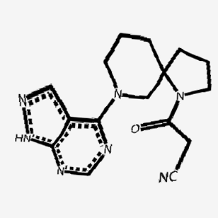 N#CCC(=O)N1CCCC12CCCN(c1ncnc3[nH]ncc13)C2